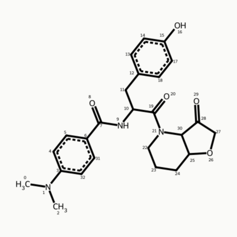 CN(C)c1ccc(C(=O)NC(Cc2ccc(O)cc2)C(=O)N2CCCC3OCC(=O)C32)cc1